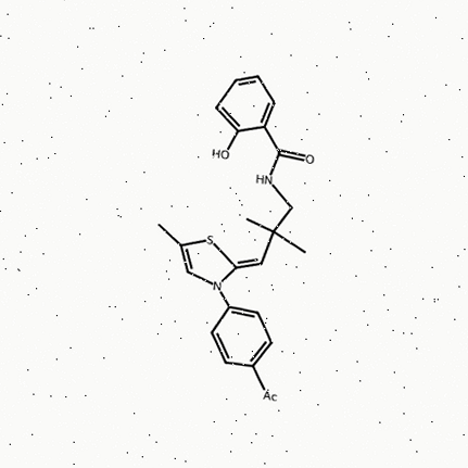 CC(=O)c1ccc(N2C=C(C)SC2=CC(C)(C)CNC(=O)c2ccccc2O)cc1